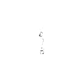 Cc1ccc2sc(NC(=O)N3CCN(c4ncc([C@@H](O)CO)cc4F)CC3)nc2c1